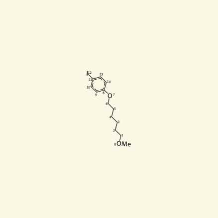 COCCCCCCOc1ccc(I)cc1